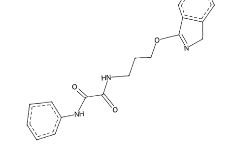 O=C(NCCCOC1=NCc2ccccc21)C(=O)Nc1ccccc1